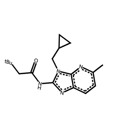 Cc1ccc2nc(NC(=O)CC(C)(C)C)n(CC3CC3)c2n1